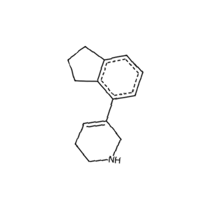 C1=C(c2cccc3c2CCC3)CNCC1